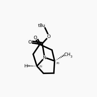 CC(C)(C)OC(=O)N1[C@H]2CC[C@]1(C)CC(=O)C2